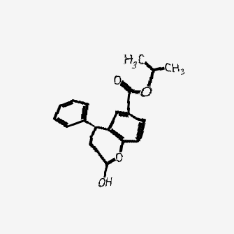 CC(C)OC(=O)c1ccc2c(c1)[C@H](c1ccccc1)CC(O)O2